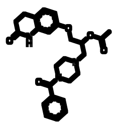 CC(=O)OC(COc1ccc2c(c1)NC(=O)CC2)CN1CCN(C(=O)c2ccccc2)CC1